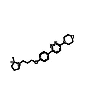 C[C@@H]1CCCN1CCCOc1ccc(-c2ccc(N3CCOCC3)nn2)cc1